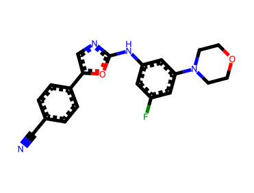 N#Cc1ccc(-c2cnc(Nc3cc(F)cc(N4CCOCC4)c3)o2)cc1